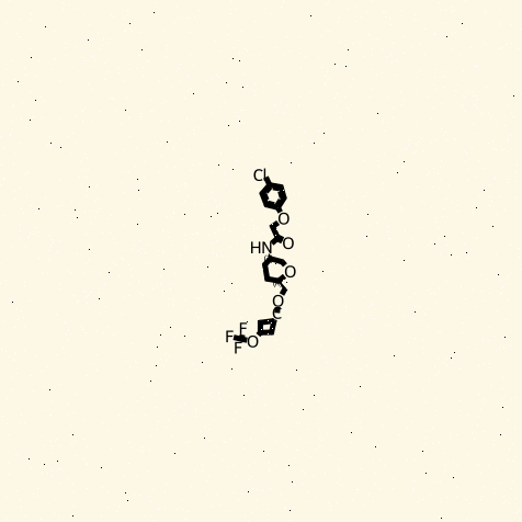 O=C(COc1ccc(Cl)cc1)N[C@H]1CC[C@H](COCC2CC(OC(F)(F)F)C2)OC1